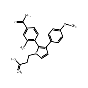 C=C(O)CCn1ccc(-c2ccc(OC)cc2)c1-c1ccc(C(N)=O)cc1C